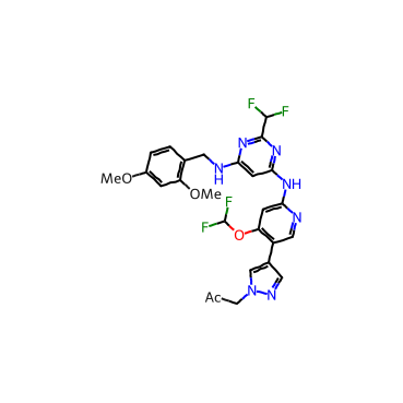 COc1ccc(CNc2cc(Nc3cc(OC(F)F)c(-c4cnn(CC(C)=O)c4)cn3)nc(C(F)F)n2)c(OC)c1